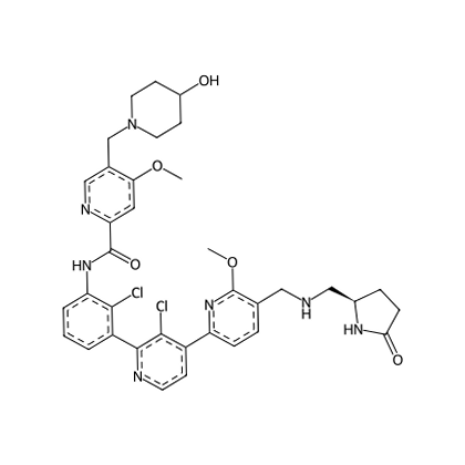 COc1cc(C(=O)Nc2cccc(-c3nccc(-c4ccc(CNC[C@H]5CCC(=O)N5)c(OC)n4)c3Cl)c2Cl)ncc1CN1CCC(O)CC1